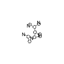 N#Cc1ccc2c(c1)c1ccccc1n2-c1ccc2c(c1)-c1ccc(-c3cc(-c4cccnc4)cc(-c4cccnc4)c3)cc1CS(=O)(=O)C2